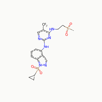 CS(=O)(=O)CCNc1nc(Nc2cccc3c2cnn3S(=O)(=O)C2CC2)ncc1C(F)(F)F